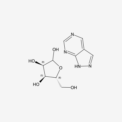 OC[C@H]1OC(O)[C@H](O)[C@@H]1O.c1ncc2cn[nH]c2n1